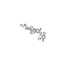 CC(Oc1cc2sc(NC(=O)NCCN)nc2cc1F)c1c(Cl)ccc(F)c1Cl